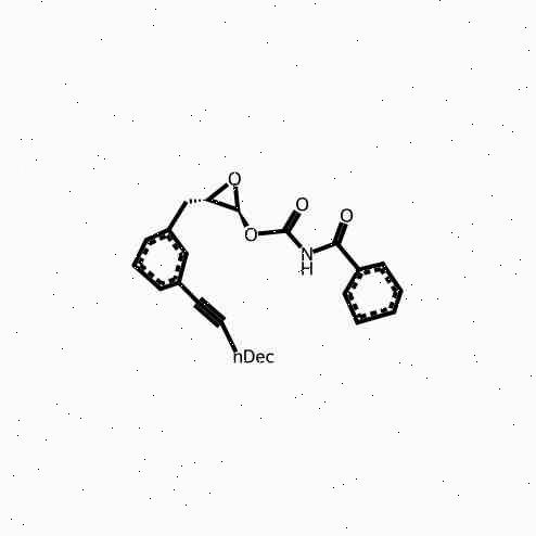 CCCCCCCCCCC#Cc1cccc(C[C@@H]2O[C@H]2OC(=O)NC(=O)c2ccccc2)c1